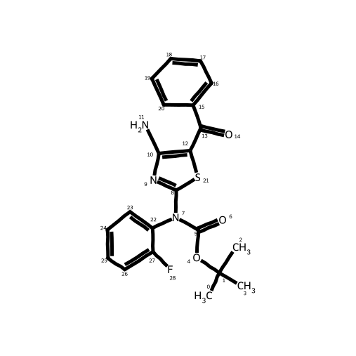 CC(C)(C)OC(=O)N(c1nc(N)c(C(=O)c2ccccc2)s1)c1ccccc1F